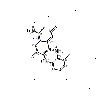 C=C/C=c1/nc(Nc2nccc(C)c2N)c(C)c/c1=C(/C)N